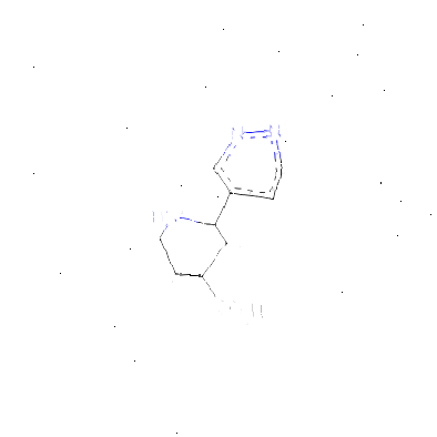 O=C(O)C1CCNC(c2ccnnc2)C1